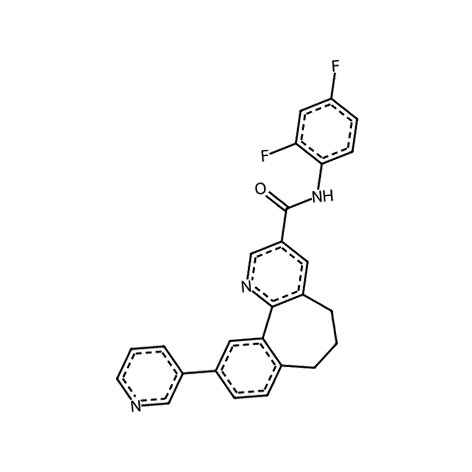 O=C(Nc1ccc(F)cc1F)c1cnc2c(c1)CCCc1ccc(-c3cccnc3)cc1-2